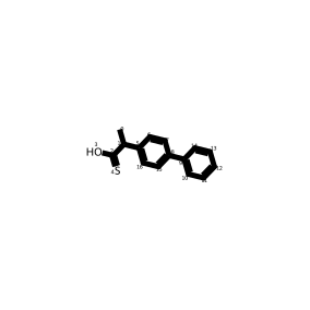 CC(C(O)=S)c1ccc(-c2ccccc2)cc1